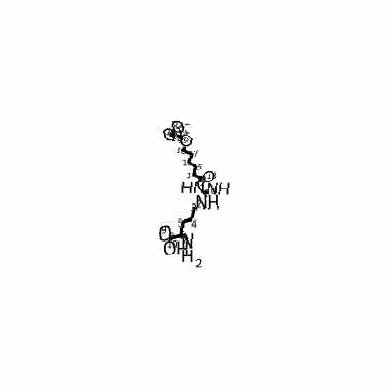 N=C(NCCCC(N)C(=O)O)NC(=O)CCCCCO[N+](=O)[O-]